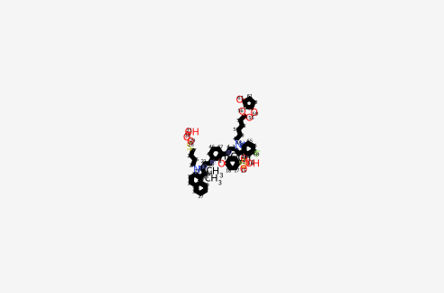 CC1(C)C(/C=C/C2=C(Oc3ccc(S(=O)(=O)O)cc3)C(=C/C=C3/N(CCCCSOOO)c4ccc5ccccc5c4C3(C)C)/CCC2)=[N+](CCCCCC(=O)OC2C(=O)CCC2=O)c2ccc(F)cc21